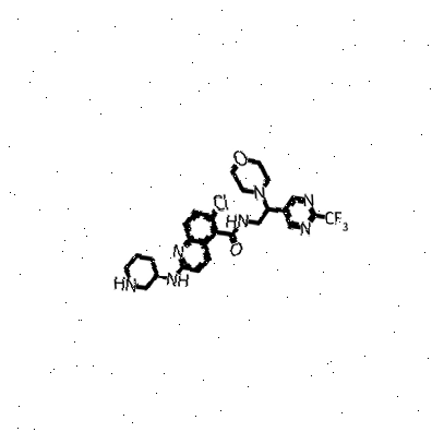 O=C(NCC(c1cnc(C(F)(F)F)nc1)N1CCOCC1)c1c(Cl)ccc2nc(N[C@@H]3CCCNC3)ccc12